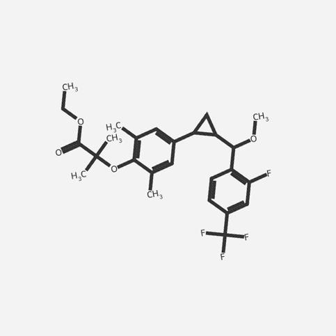 CCOC(=O)C(C)(C)Oc1c(C)cc(C2CC2C(OC)c2ccc(C(F)(F)F)cc2F)cc1C